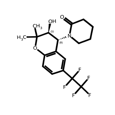 CC1(C)Oc2ccc(C(F)(F)C(F)(F)F)cc2[C@@H](N2CCCCC2=O)[C@@H]1O